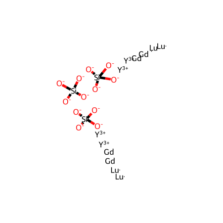 [Gd].[Gd].[Gd].[Gd].[Lu].[Lu].[Lu].[Lu].[O-][Si]([O-])([O-])[O-].[O-][Si]([O-])([O-])[O-].[O-][Si]([O-])([O-])[O-].[Y+3].[Y+3].[Y+3].[Y+3]